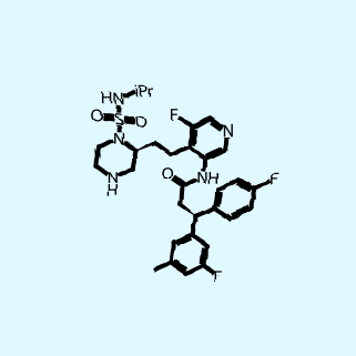 Cc1cc(F)cc([C@@H](CC(=O)Nc2cncc(F)c2CC[C@H]2CNCCN2S(=O)(=O)NC(C)C)c2ccc(F)cc2)c1